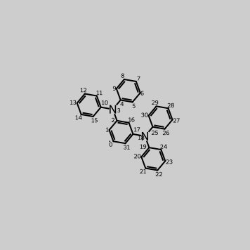 [c]1cc(N(c2ccccc2)c2ccccc2)cc(N(c2ccccc2)c2ccccc2)c1